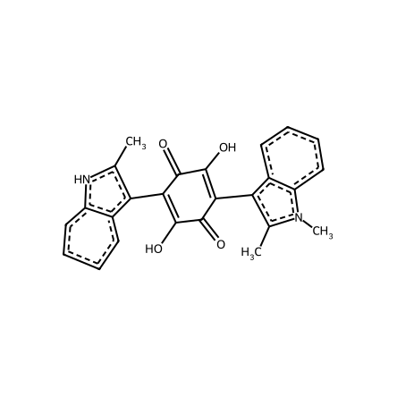 Cc1[nH]c2ccccc2c1C1=C(O)C(=O)C(c2c(C)n(C)c3ccccc23)=C(O)C1=O